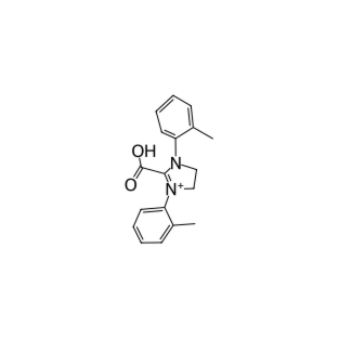 Cc1ccccc1N1CC[N+](c2ccccc2C)=C1C(=O)O